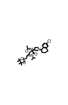 CC(=O)NC(CCCCB1OC(C)(C)C(C)(C)O1)(C(=O)NC(C)C)C1CCN(C2CCCc3cc(Cl)ccc32)C1